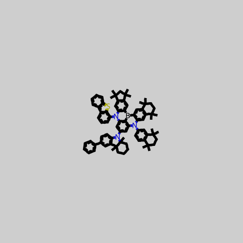 CC1(C)CCC(C)(C)c2cc(N3c4cc5c(cc4B4c6cc7c(cc6N(c6cccc8c6sc6ccccc68)c6cc(N8c9ccc(-c%10ccccc%10)cc9C9(C)CCCCC89C)cc3c64)C(C)(C)CC7(C)C)C(C)(C)CCC5(C)C)ccc21